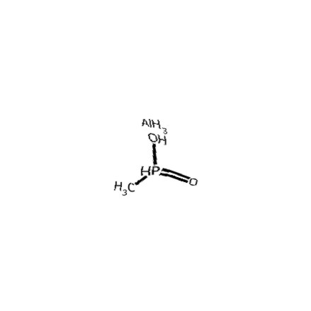 C[PH](=O)O.[AlH3]